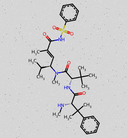 CN[C@H](C(=O)N[C@H](C(=O)N(C)[C@H](C=C(C)C(=O)NS(=O)(=O)c1ccccc1)C(C)C)C(C)(C)C)C(C)(C)c1ccccc1